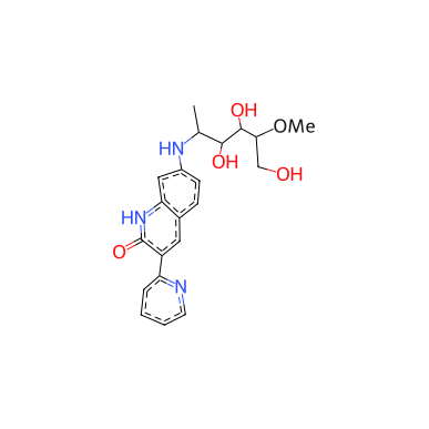 COC(CO)C(O)C(O)C(C)Nc1ccc2cc(-c3ccccn3)c(=O)[nH]c2c1